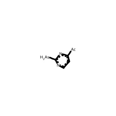 CC(=O)c1ccnc([AsH2])n1